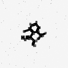 [CH2]c1cccc(N(C)C)c1C(N)C=C